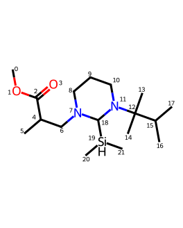 COC(=O)C(C)CN1CCCN(C(C)(C)C(C)C)C1[SiH](C)C